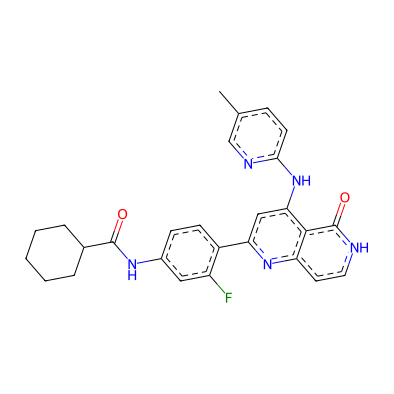 Cc1ccc(Nc2cc(-c3ccc(NC(=O)C4CCCCC4)cc3F)nc3cc[nH]c(=O)c23)nc1